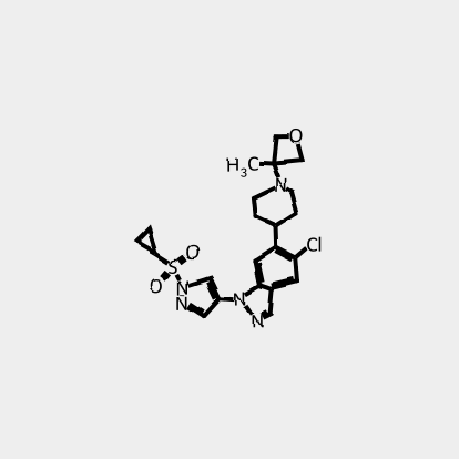 CC1(N2CCC(c3cc4c(cnn4-c4cnn(S(=O)(=O)C5CC5)c4)cc3Cl)CC2)COC1